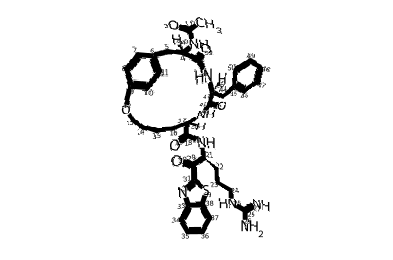 CC(=O)N[C@H]1Cc2ccc(cc2)OCCCC[C@@H](C(=O)N[C@@H](CCCNC(=N)N)C(=O)c2nc3ccccc3s2)NC(=O)[C@H](Cc2ccccc2)NC1=O